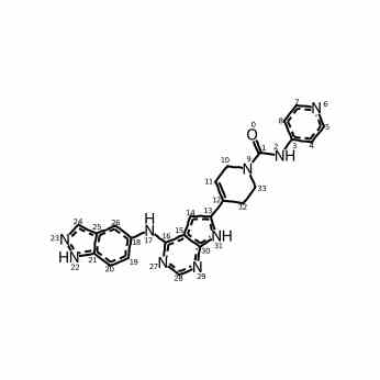 O=C(Nc1ccncc1)N1CC=C(c2cc3c(Nc4ccc5[nH]ncc5c4)ncnc3[nH]2)CC1